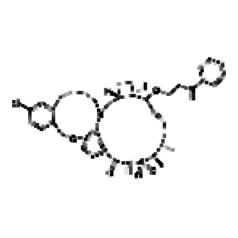 C[C@@H]1[C@@H](C)C/C=C/C(OCCNc2ccccc2)[C@@H]2CC[C@H]2CN2CCCCc3cc(Cl)ccc3COc3ccc(cc32)C(=O)NS1(=O)=O